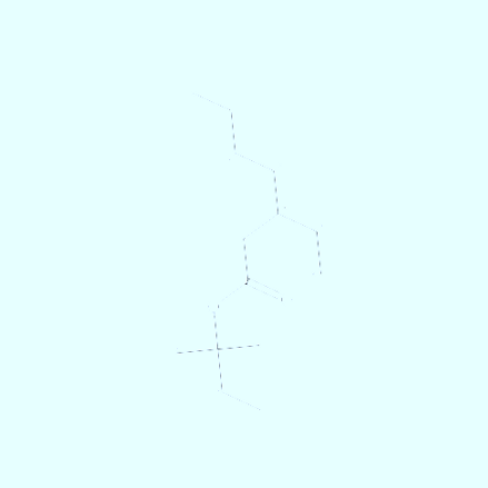 CCCCC(CC)CC(=O)OC(C)(C)CC